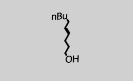 CCCCCC=CCCCO